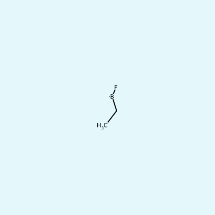 CC[B]F